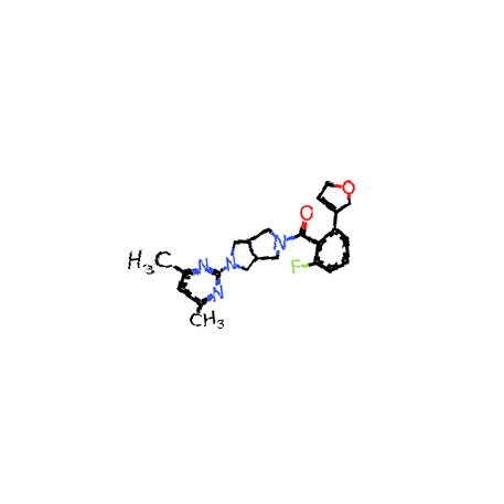 Cc1cc(C)nc(N2CC3CN(C(=O)c4c(F)cccc4C4=CCOC4)CC3C2)n1